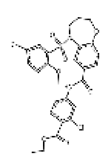 CCOC(=O)c1ccc(NC(=O)c2ccc3c(c2)N(S(=O)(=O)c2cc(Cl)ccc2OC)CCCO3)cc1Cl